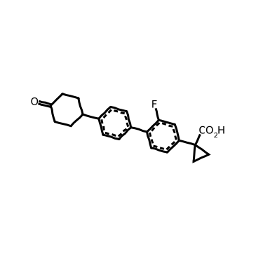 O=C1CCC(c2ccc(-c3ccc(C4(C(=O)O)CC4)cc3F)cc2)CC1